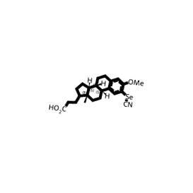 COc1cc2c(cc1[Se]C#N)[C@H]1CC[C@]3(C)C(CCC(=O)O)CC[C@H]3[C@@H]1CC2